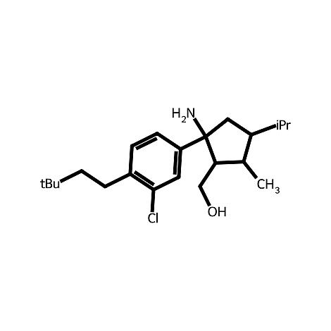 CC(C)C1CC(N)(c2ccc(CCC(C)(C)C)c(Cl)c2)C(CO)C1C